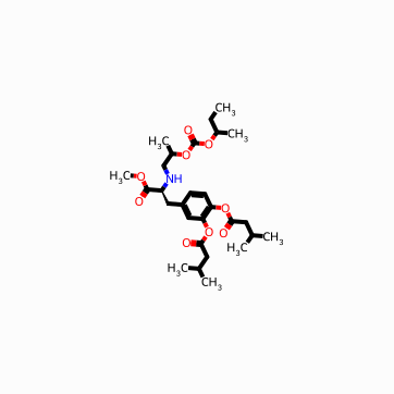 CCC(C)OC(=O)OC(C)CN[C@@H](Cc1ccc(OC(=O)CC(C)C)c(OC(=O)CC(C)C)c1)C(=O)OC